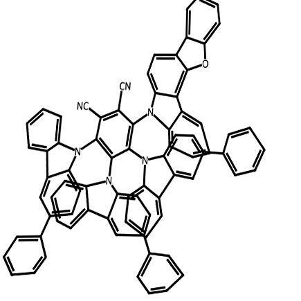 N#Cc1c(C#N)c(-n2c3ccccc3c3c4oc5ccccc5c4ccc32)c(-n2c3ccccc3c3cc(-c4ccccc4)ccc32)c(-n2c3ccccc3c3cc(-c4ccccc4)ccc32)c1-n1c2ccccc2c2cc(-c3ccccc3)ccc21